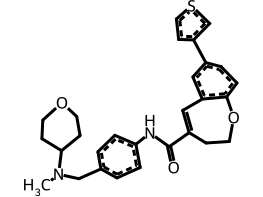 CN(Cc1ccc(NC(=O)C2=Cc3cc(-c4ccsc4)ccc3OCC2)cc1)C1CCOCC1